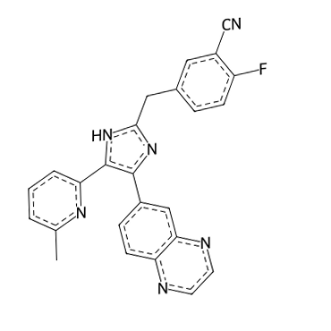 Cc1cccc(-c2[nH]c(Cc3ccc(F)c(C#N)c3)nc2-c2ccc3nccnc3c2)n1